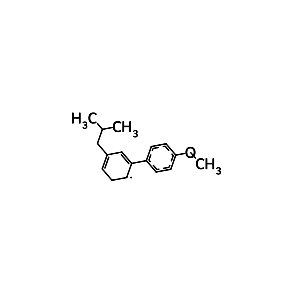 COc1ccc(C2=CC(CC(C)C)=CC[CH]2)cc1